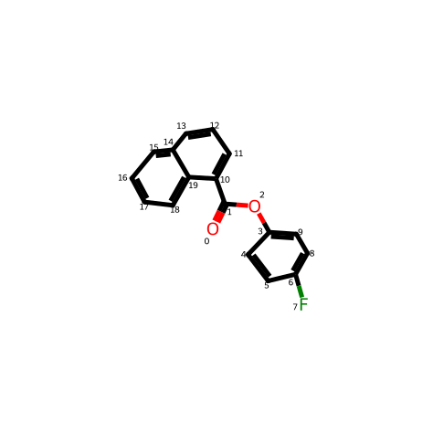 O=C(Oc1ccc(F)cc1)c1cccc2ccccc12